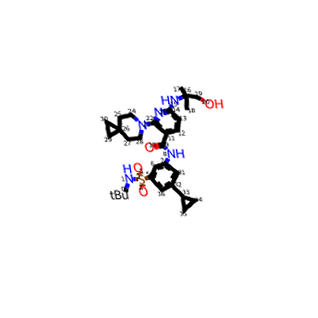 CC(C)(C)NS(=O)(=O)c1cc(NC(=O)c2ccc(NC(C)(C)CO)nc2N2CCC3(CC2)CC3)cc(C2CC2)c1